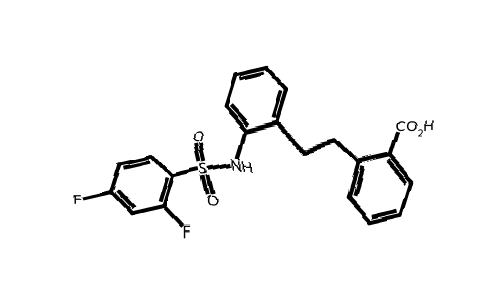 O=C(O)c1ccccc1CCc1ccccc1NS(=O)(=O)c1ccc(F)cc1F